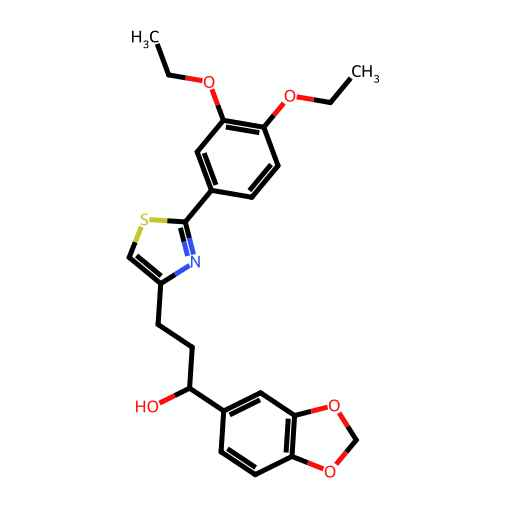 CCOc1ccc(-c2nc(CCC(O)c3ccc4c(c3)OCO4)cs2)cc1OCC